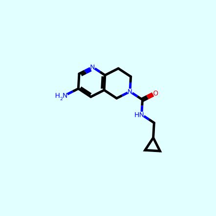 Nc1cnc2c(c1)CN(C(=O)NCC1CC1)CC2